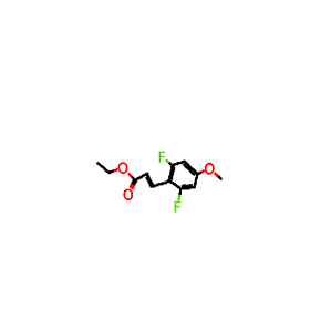 CCOC(=O)/C=C/c1c(F)cc(OC)cc1F